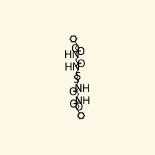 O=C(CCNC(=O)OCc1ccccc1)NCCSSCCNC(=O)CCNC(=O)OCc1ccccc1